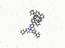 c1ccc(-c2ccc(N(c3ccc(-c4ccccc4)cc3)c3ccc(-c4cccc5c4-c4ccccc4C54c5ccccc5C5(c6ccccc6-c6ccccc65)c5cc(-c6ccccc6)ccc54)cc3)cc2)cc1